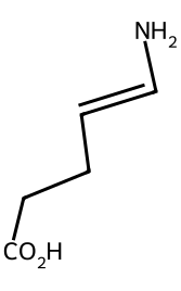 NC=CCCC(=O)O